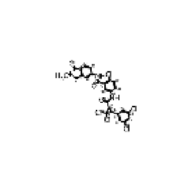 CN1Cc2cc(NC(=O)c3cc(NC(=O)C4C(c5cc(Cl)cc(Cl)c5)C4(Cl)Cl)ccc3Cl)ccc2C1=O